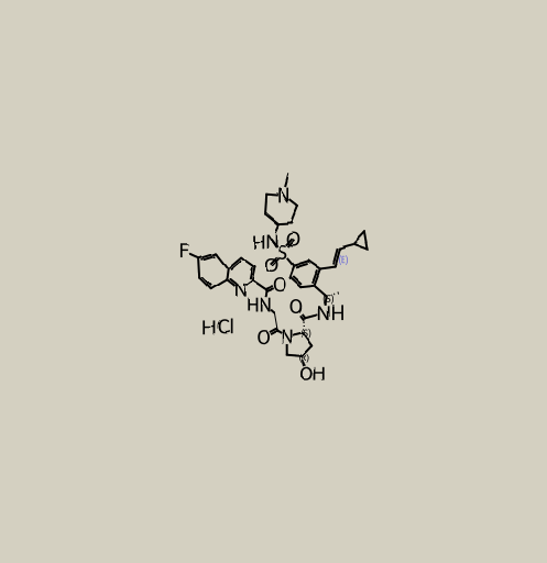 C[C@H](NC(=O)[C@@H]1C[C@@H](O)CN1C(=O)CNC(=O)c1ccc2cc(F)ccc2n1)c1ccc(S(=O)(=O)NC2CCN(C)CC2)cc1/C=C/C1CC1.Cl